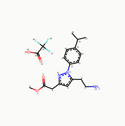 COC(=O)Cc1cc(CCN)n(-c2ccc(C(C)C)cc2)n1.O=C(O)C(F)(F)F